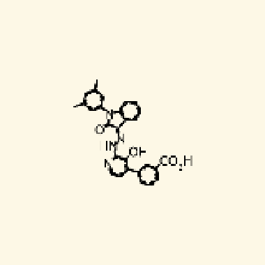 Cc1cc(C)cc(N2C(=O)C(=NNc3nccc(-c4cccc(C(=O)O)c4)c3O)c3ccccc32)c1